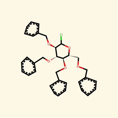 ClC1O[C@H](COCc2ccccc2)[C@@H](OCc2ccccc2)[C@H](OCc2ccccc2)[C@H]1OCc1ccccc1